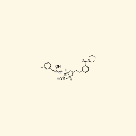 Cc1cccc(C[C@@H](O)/C=C/[C@@H]2[C@H]3CC(CCc4cccc(C(=O)N5CCCCC5)c4)=C[C@H]3C[C@H]2O)c1